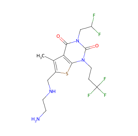 Cc1c(CNCCN)sc2c1c(=O)n(CC(F)F)c(=O)n2CCC(F)(F)F